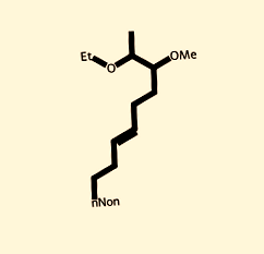 C[CH]CCCCCCCCCC=CCCC(OC)C(C)OCC